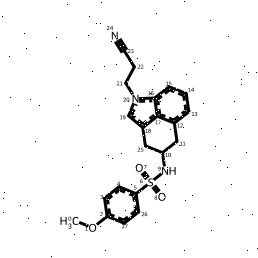 COc1ccc(S(=O)(=O)NC2Cc3cccc4c3c(cn4CCC#N)C2)cc1